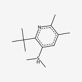 Cc1cc([SH](C)C)c(C(C)(C)C)nc1C